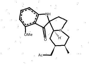 COc1cccc2c1C(=O)C1(CCN3C[C@@H](C)[C@@H](CC(C)=O)C[C@H]31)N2